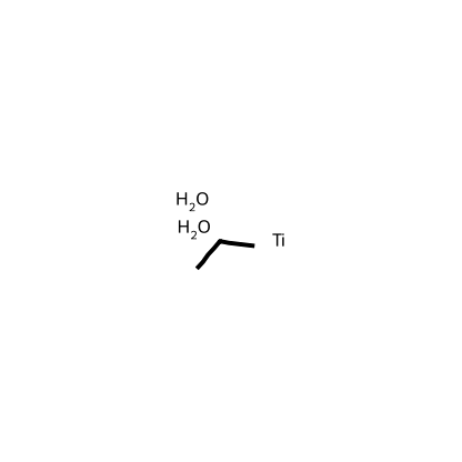 CCC.O.O.[Ti]